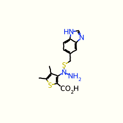 Cc1sc(C(=O)O)c(N(N)SCc2ccc3[nH]cnc3c2)c1C